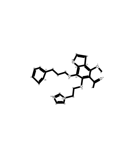 COc1c(C(C)=O)c(OCCn2ccnc2)c(OCCCc2ccccc2)c2occc12